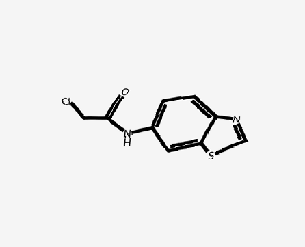 O=C(CCl)Nc1ccc2ncsc2c1